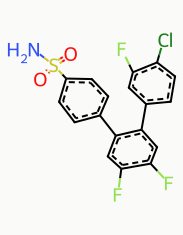 NS(=O)(=O)c1ccc(-c2cc(F)c(F)cc2-c2ccc(Cl)c(F)c2)cc1